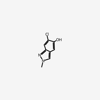 Cn1cc2cc(O)c(Cl)cc2n1